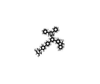 Cc1cc(C)nc(-c2ccc(-c3ccc(-c4cc(-c5ccc6c(c5)-c5ccccc5C6(C)C)cc(-c5nc(-c6ccccc6)cc(-c6ccccc6)n5)c4)cc3)cc2)n1